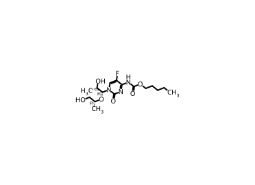 CCCCCOC(=O)Nc1nc(=O)n([C@H](O[C@H](C)CO)[C@H](C)O)cc1F